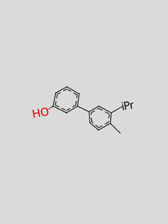 Cc1ccc(-c2cccc(O)c2)cc1C(C)C